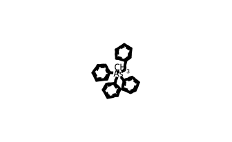 C[As](Cc1ccccc1)(c1ccccc1)(c1ccccc1)c1ccccc1